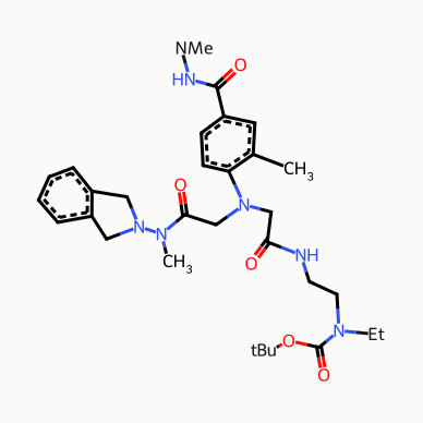 CCN(CCNC(=O)CN(CC(=O)N(C)N1Cc2ccccc2C1)c1ccc(C(=O)NNC)cc1C)C(=O)OC(C)(C)C